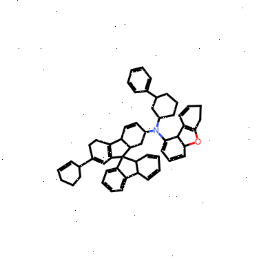 C1=CC2OC3=C(C=CCC3)C2C(N(C2C=CC3C4=C(C=C(C5C=CCCC5)CC4)C4(c5ccccc5C5C=CC=CC54)C3C2)C2CCCC(c3ccccc3)C2)=C1